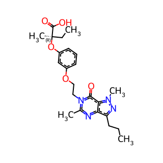 CCCc1nn(C)c2c(=O)n(CCOc3cccc(O[C@](C)(CC)C(=O)O)c3)c(C)nc12